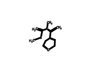 C=C(SC)N(C)C(=C)C1CCOCC1